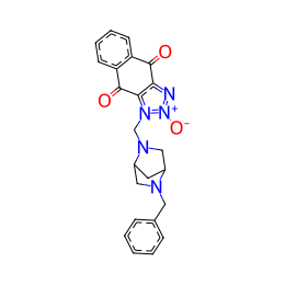 O=C1c2ccccc2C(=O)c2c1n[n+]([O-])n2CN1CC2CC1CN2Cc1ccccc1